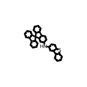 c1ccc2c(c1)-c1ccccc1C21c2ccccc2-c2ccc(Nc3ccc4sc5ccccc5c4c3)cc21